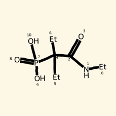 CCNC(=O)C(CC)(CC)P(=O)(O)O